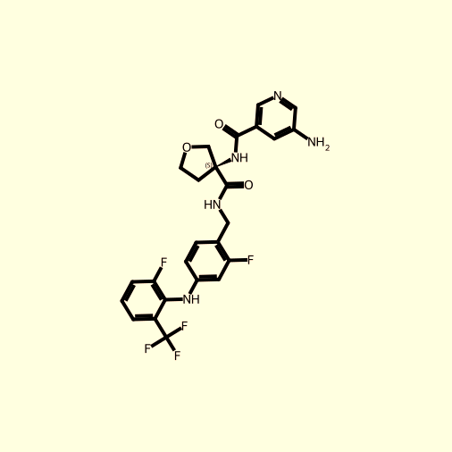 Nc1cncc(C(=O)N[C@@]2(C(=O)NCc3ccc(Nc4c(F)cccc4C(F)(F)F)cc3F)CCOC2)c1